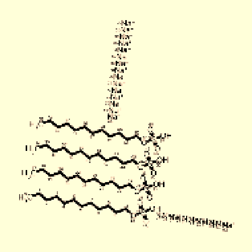 CCCCCCCCCCCCOS(=O)(=O)O.CCCCCCCCCCCCOS(=O)(=O)O.CCCCCCCCCCCCOS(=O)(=O)O.CCCCCCCCCCCCOS(=O)(=O)O.[Na+].[Na+].[Na+].[Na+].[Na+].[Na+].[Na+].[Na+].[Na+].[Na+].[Na+].[Na+].[Na+].[Na+].[Na+].[Na+].[Na+].[Na+].[Na+].[Na+].[Na+].[Na+].[Na+].[Na+].[Na+].[Na+]